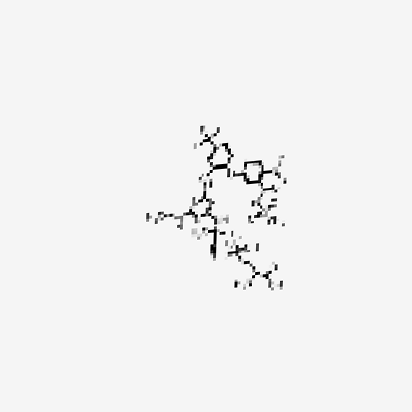 CCNc1nc(Cl)nc(NC(C)(C)C#N)n1.CP(=O)(O)CCC(N)C(=O)O.CS(=O)(=O)NC(=O)c1cc(Oc2ccc(C(F)(F)F)cc2Cl)ccc1[N+](=O)[O-]